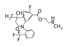 CBCCOC(=O)c1cc2c(cc1F)C(C)(C)CC(=O)N2c1ccccc1C(F)(F)F